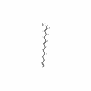 [CH]=CCCCCCC=CCCC=CCC